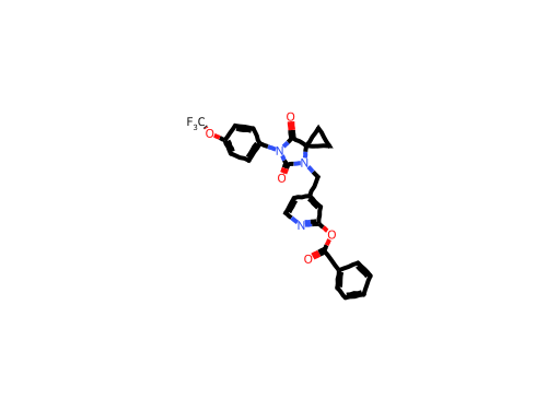 O=C(Oc1cc(CN2C(=O)N(c3ccc(OC(F)(F)F)cc3)C(=O)C23CC3)ccn1)c1ccccc1